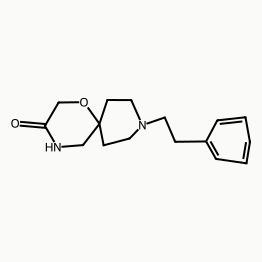 O=C1COC2(CCN(CCc3ccccc3)CC2)CN1